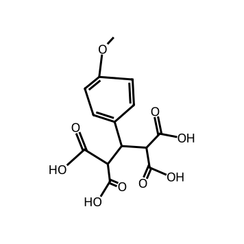 COc1ccc(C(C(C(=O)O)C(=O)O)C(C(=O)O)C(=O)O)cc1